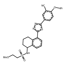 COCCS(=O)(=O)NC1CCCc2c(-c3nnc(-c4ccc(OC(C)C)c(C#N)c4)s3)cccc21